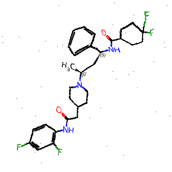 C[C@@H](C[C@H](NC(=O)C1CCC(F)(F)CC1)c1ccccc1)N1CCC(CC(=O)Nc2ccc(F)cc2F)CC1